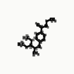 CCOC(=O)c1ccc(OC(C)N(CC)CC)cc1